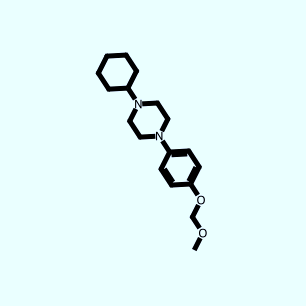 COCOc1ccc(N2CCN(C3CCCCC3)CC2)cc1